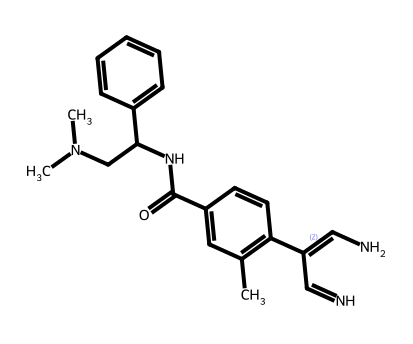 Cc1cc(C(=O)NC(CN(C)C)c2ccccc2)ccc1/C(C=N)=C/N